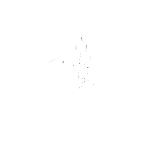 CC(C)(C)CC(=O)O[C@H]1C[C@@]2(C)[C@@H](C[C@H]3OC(C)(C)O[C@]32C(=O)CO)[C@@H]2CCC3=CC(=O)C=C[C@]3(C)[C@@]12F